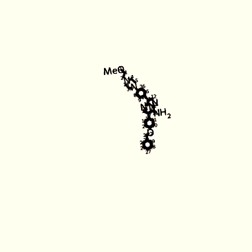 COCCN1CCN(c2ccc(-c3cnn4c(N)c(-c5ccc(OCc6ccccc6)cc5)cnc34)cc2)CC1